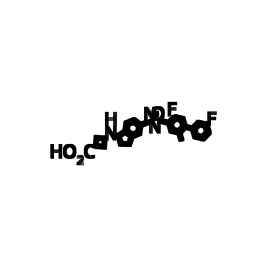 Cc1cc(-c2nc(-c3ccc4c(c3)CCC4NC3CC(C(=O)O)C3)no2)c(F)cc1-c1cccc(F)c1